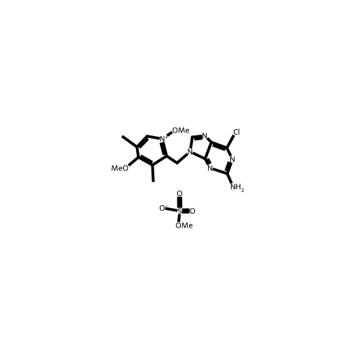 COS(=O)(=O)[O-].COc1c(C)c[n+](OC)c(Cn2cnc3c(Cl)nc(N)nc32)c1C